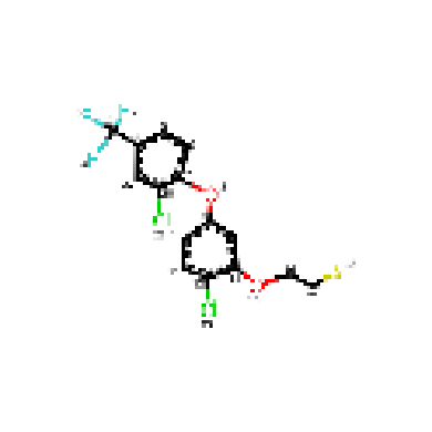 FC(F)(F)c1ccc(Oc2ccc(Cl)c(OCC[S])c2)c(Cl)c1